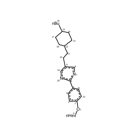 CCCCCCOc1ccc(-c2ncc(CCC3CCC(CCCC)CC3)cn2)cc1